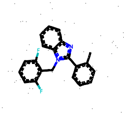 Cc1ccccc1-c1nc2ccccc2n1Cc1c(F)cccc1F